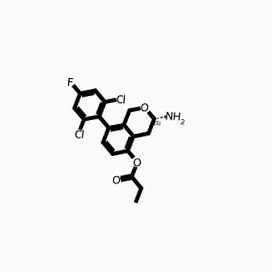 CCC(=O)Oc1ccc(-c2c(Cl)cc(F)cc2Cl)c2c1C[C@@H](N)OC2